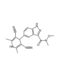 CON(C)C(=O)c1n[nH]c2ccc(C3C(C#N)=C(C)NC(C)=C3C#N)cc12